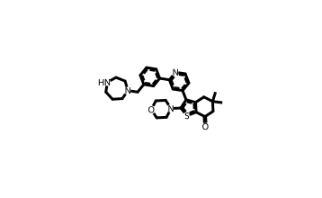 CC1(C)CC(=O)c2sc(N3CCOCC3)c(-c3ccnc(-c4cccc(CN5CCCNCC5)c4)c3)c2C1